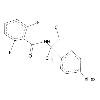 CCCCCCc1ccc(C(C)(CCl)NC(=O)c2c(F)cccc2F)cc1